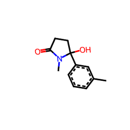 Cc1cccc(C2(O)CCC(=O)N2C)c1